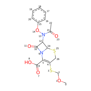 COCSC1=C(C(=O)O)N2C(=O)C(N(Oc3ccccc3)C(C)=O)C2SC1